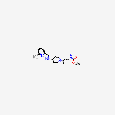 CC(CCNC(=O)OC(C)(C)C)N1CCC(NCc2cccc(C#N)n2)CC1